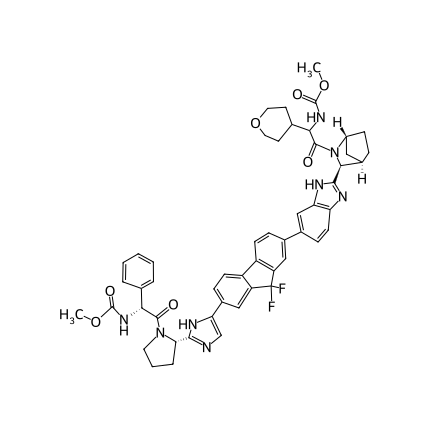 COC(=O)NC(C(=O)N1[C@@H]2CC[C@H](C2)[C@H]1c1nc2ccc(-c3ccc4c(c3)C(F)(F)c3cc(-c5cnc([C@@H]6CCCN6C(=O)[C@H](NC(=O)OC)c6ccccc6)[nH]5)ccc3-4)cc2[nH]1)C1CCOCC1